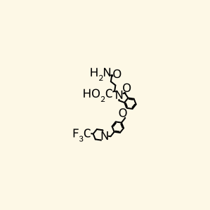 NC(=O)CCC(C(=O)O)N1Cc2c(OCc3ccc(CN4CCC(C(F)(F)F)CC4)cc3)cccc2C1=O